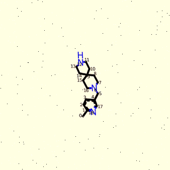 Cc1ccc(CN2CCC3(CCNCC3)CC2)cn1